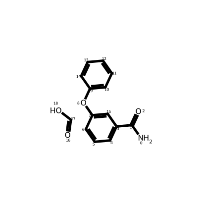 NC(=O)c1cccc(Oc2ccccc2)c1.O=CO